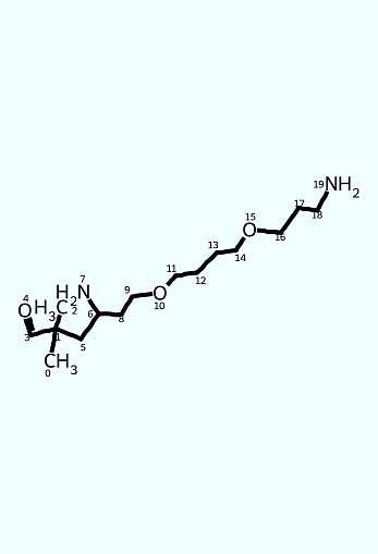 CC(C)(C=O)CC(N)CCOCCCCOCCCN